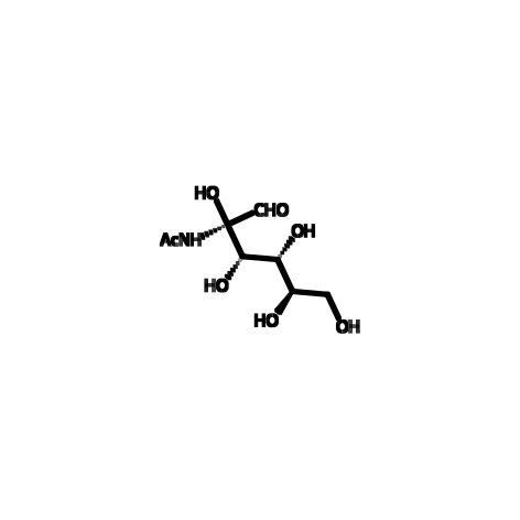 CC(=O)N[C@](O)(C=O)[C@@H](O)[C@H](O)[C@H](O)CO